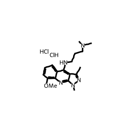 COc1cccc2c(NCCCN(C)C)c3c(C)nn(C)c3nc12.Cl.Cl